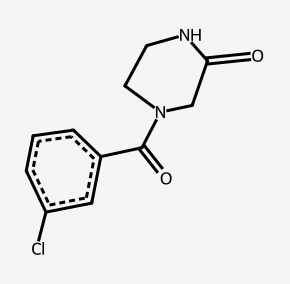 O=C1CN(C(=O)c2cccc(Cl)c2)CCN1